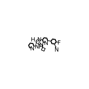 N#Cc1cc(-c2ccc(N)c(N(C(=O)Nc3ccccn3)C3CCC3)n2)ccc1F